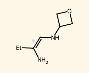 CC/C(N)=C/NC1COC1